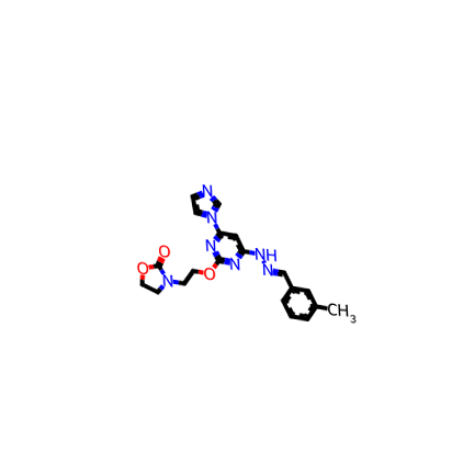 Cc1cccc(/C=N/Nc2cc(-n3ccnc3)nc(OCCN3CCOC3=O)n2)c1